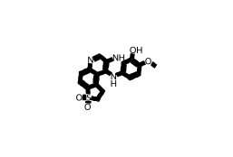 COc1ccc(Nc2c(N)cnc3ccc4c(c23)CCS4(=O)=O)cc1O